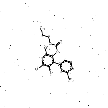 CC(=O)c1c(C)nc(C)c(OC(=O)OCCO)c1-c1cccc([N+](=O)[O-])c1